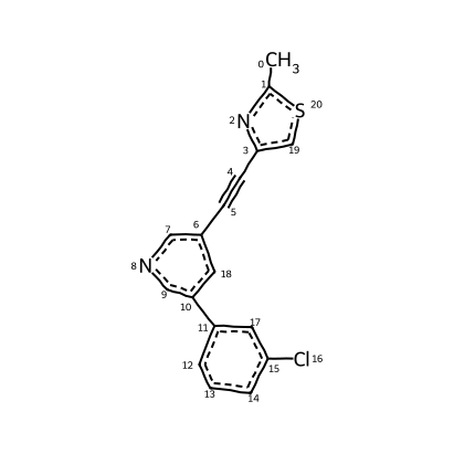 Cc1nc(C#Cc2cncc(-c3cccc(Cl)c3)c2)cs1